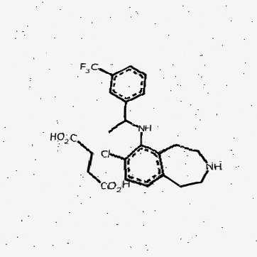 CC(Nc1c(Cl)ccc2c1CCNCC2)c1cccc(C(F)(F)F)c1.O=C(O)CCC(=O)O